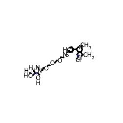 C=C(Cl)C1=C(/C=C/Cl)C(c2cccc(SNCCOCCOCCOCCN(N)/C(CO)=C(\N)CO)c2)CN(C)C1